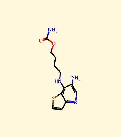 NC(=O)OCCCCNc1c(N)cnc2ccsc12